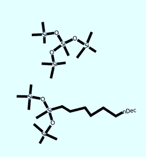 CCCCCCCCCCCCCCCC[Si](C)(O[Si](C)(C)C)O[Si](C)(C)C.C[Si](C)(C)O[Si](C)(O[Si](C)(C)C)O[Si](C)(C)C